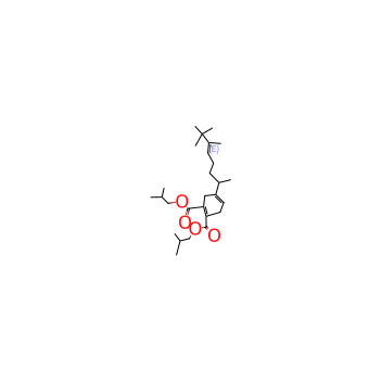 C/C(=C\CCC(C)C1=CCC(C(=O)OCC(C)C)=C(C(=O)OCC(C)C)C1)C(C)(C)C